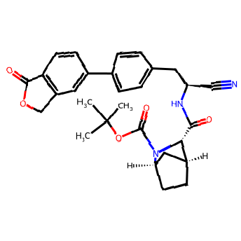 CC(C)(C)OC(=O)N1[C@@H]2CC[C@@H](C2)[C@H]1C(=O)N[C@H](C#N)Cc1ccc(-c2ccc3c(c2)COC3=O)cc1